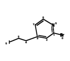 Brc1cc(CCI)ccn1